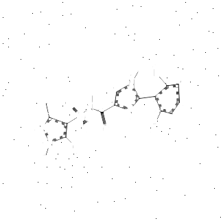 Cc1nn(C)c(Cl)c1S(=O)(=O)NC(=O)c1cn(C)c(-c2c(F)cccc2F)n1